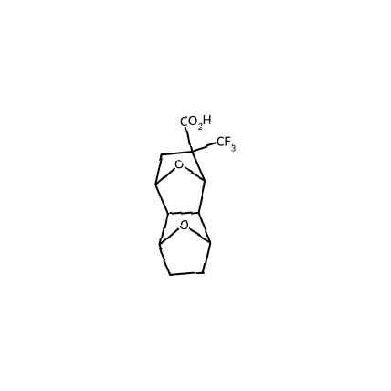 O=C(O)C1(C(F)(F)F)CC2OC1C1C3CCC(O3)C21